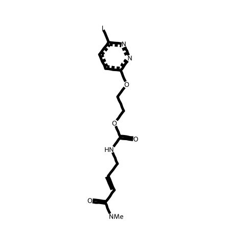 CNC(=O)/C=C/CNC(=O)OCCOc1ccc(I)nn1